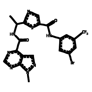 CC(NC(=O)c1ncnc2c1cnn2C)c1ncc(C(=O)Nc2cc(Br)cc(C(F)(F)F)c2)s1